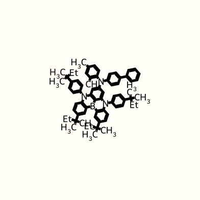 CCC(C)(C)c1ccc(N2c3ccc(C(C)(C)CC)cc3B3c4cc(C(C)(C)CC)ccc4N(c4ccc(C(C)(C)CC)cc4)c4cc(N(c5ccc(-c6ccccc6)cc5)c5ccc(C)cc5C)cc2c43)cc1